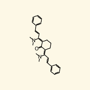 CN(C)C(C=Cc1ccccc1)=C1CCCC(=C(C=Cc2ccccc2)N(C)C)C1=O